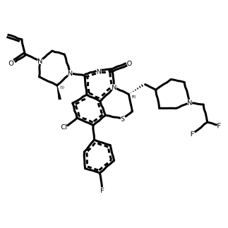 C=CC(=O)N1CCN(c2nc(=O)n3c4c(c(-c5ccc(F)cc5)c(Cl)cc24)SC[C@H]3CC2CCN(CC(F)F)CC2)[C@@H](C)C1